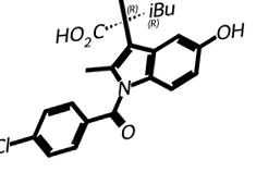 CC[C@@H](C)[C@@](C)(C(=O)O)c1c(C)n(C(=O)c2ccc(Cl)cc2)c2ccc(O)cc12